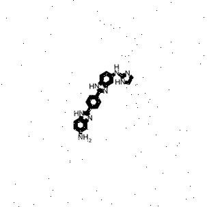 Nc1ccc2[nH]c(-c3ccc(-c4nc5cc(NC6=NCCN6)ccc5[nH]4)cc3)nc2c1